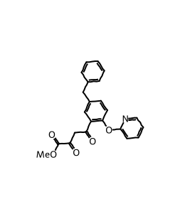 COC(=O)C(=O)CC(=O)c1cc(Cc2ccccc2)ccc1Oc1ccccn1